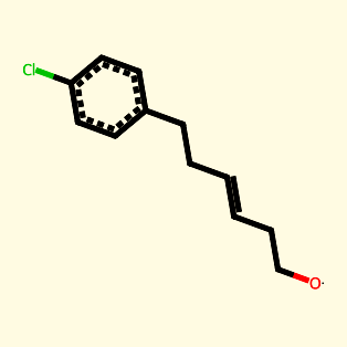 [O]CCC=CCCc1ccc(Cl)cc1